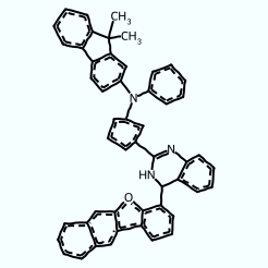 CC1(C)c2ccccc2-c2ccc(N(c3ccccc3)c3cccc(C4=Nc5ccccc5C(c5cccc6c5oc5cc7ccccc7cc56)N4)c3)cc21